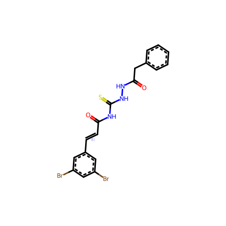 O=C(/C=C/c1cc(Br)cc(Br)c1)NC(=S)NNC(=O)Cc1ccccc1